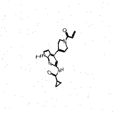 C=CC(=O)N1CC=C(c2cc(NC(=O)C3CC3)nc3[nH]ccc23)CC1